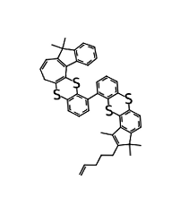 C=CCCCC1=C(C)c2c(ccc3c2Sc2c(cccc2-c2cccc4c2SC2=C(CC=CC5=C2c2ccccc2C5(C)C)S4)S3)C1(C)C